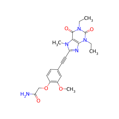 CCn1c(=O)c2c(nc(C#Cc3ccc(OCC(N)=O)c(OC)c3)n2C)n(CC)c1=O